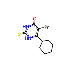 CC(C)c1c(C2CCCCC2)[nH]c(=S)[nH]c1=O